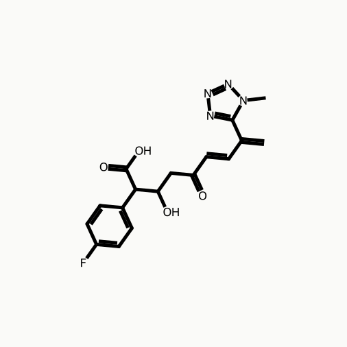 C=C(C=CC(=O)CC(O)C(C(=O)O)c1ccc(F)cc1)c1nnnn1C